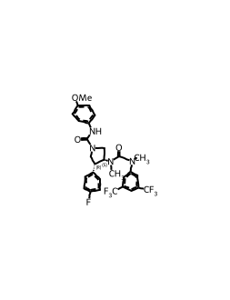 COc1ccc(NC(=O)N2C[C@@H](N(C)C(=O)N(C)c3cc(C(F)(F)F)cc(C(F)(F)F)c3)[C@H](c3ccc(F)cc3)C2)cc1